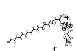 CCCCCCCCCCCCCCCCOCC(CC#N)CNS(=O)(=O)CCC[N+](C)(C)C.[I-]